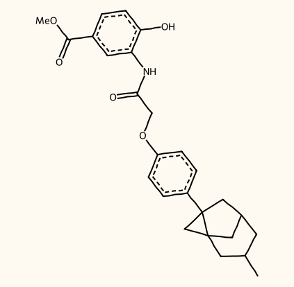 COC(=O)c1ccc(O)c(NC(=O)COc2ccc(C34CC5CC(C)CC3(C5)C4)cc2)c1